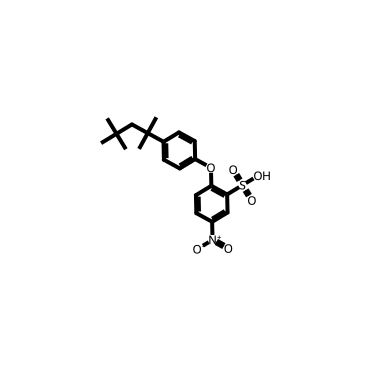 CC(C)(C)CC(C)(C)c1ccc(Oc2ccc([N+](=O)[O-])cc2S(=O)(=O)O)cc1